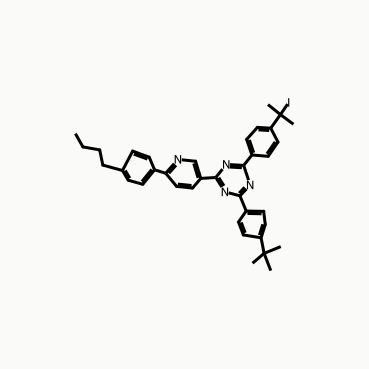 CCCCc1ccc(-c2ccc(-c3nc(-c4ccc(C(C)(C)C)cc4)nc(-c4ccc(C(C)(C)I)cc4)n3)cn2)cc1